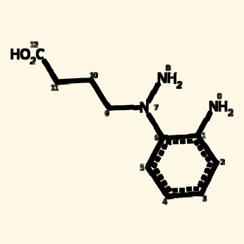 Nc1ccccc1N(N)CCCC(=O)O